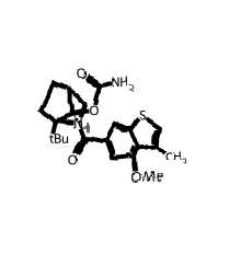 COc1cc(C(=O)N2CC3CCC2(C(C)(C)C)[C@@H]3OC(N)=O)cc2scc(C)c12